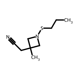 CCCSN1CC(C)(CC#N)C1